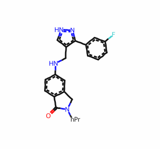 CCCN1Cc2cc(NCc3c[nH]nc3-c3cccc(F)c3)ccc2C1=O